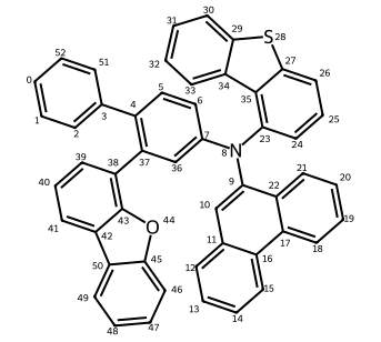 c1ccc(-c2ccc(N(c3cc4ccccc4c4ccccc34)c3cccc4sc5ccccc5c34)cc2-c2cccc3c2oc2ccccc23)cc1